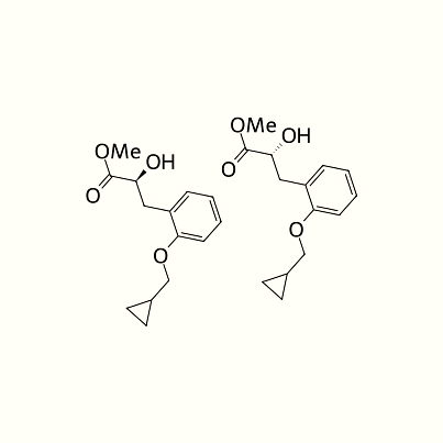 COC(=O)[C@@H](O)Cc1ccccc1OCC1CC1.COC(=O)[C@H](O)Cc1ccccc1OCC1CC1